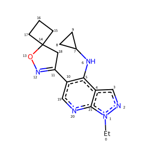 CCn1ncc2c(NC3CC3)c(C3=NOC4(CCC4)C3)cnc21